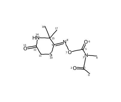 CC(=O)N(C)C(=O)ON=C1SCC(=O)NC1(C)C